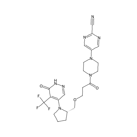 N#Cc1ncc(N2CCN(C(=O)CCOC[C@@H]3CCCN3c3cn[nH]c(=O)c3C(F)(F)F)CC2)cn1